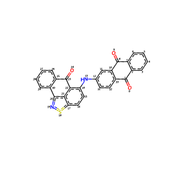 O=C1c2ccccc2C(=O)c2cc(Nc3ccc4snc5c4c3C(=O)c3ccccc3-5)ccc21